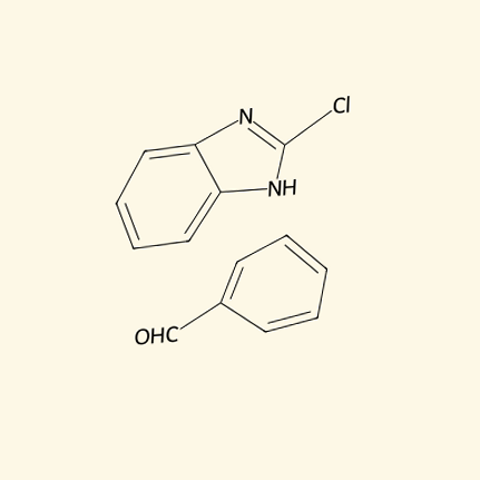 Clc1nc2ccccc2[nH]1.O=Cc1ccccc1